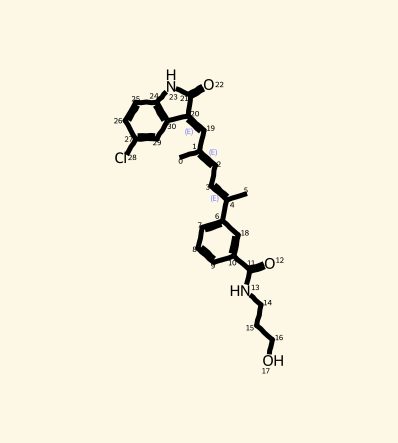 CC(=C\C=C(/C)c1cccc(C(=O)NCCCO)c1)/C=C1/C(=O)Nc2ccc(Cl)cc21